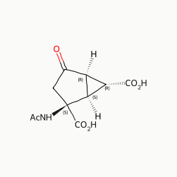 CC(=O)N[C@@]1(C(=O)O)CC(=O)[C@H]2[C@H](C(=O)O)[C@H]21